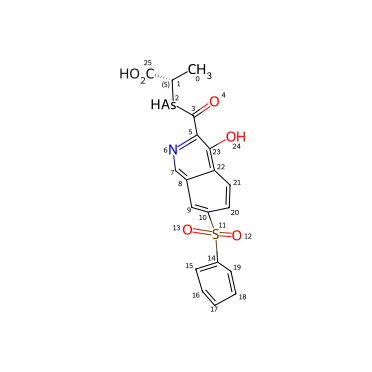 C[C@H]([AsH]C(=O)c1ncc2cc(S(=O)(=O)c3ccccc3)ccc2c1O)C(=O)O